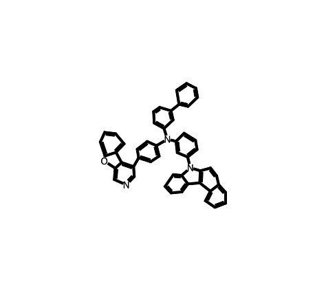 c1ccc(-c2cccc(N(c3ccc(-c4cncc5oc6ccccc6c45)cc3)c3cccc(-n4c5ccccc5c5c6ccccc6ccc54)c3)c2)cc1